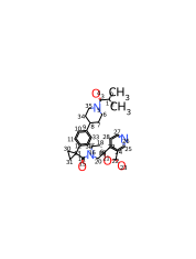 CC(C)C(=O)N1CCC(c2ccc(C3(C(=O)N4CC[C@@]5(C4)OC(=O)c4cnccc45)CC3)cc2)CC1